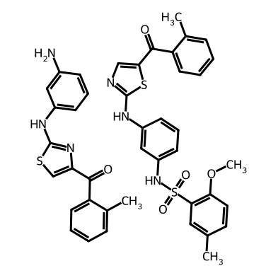 COc1ccc(C)cc1S(=O)(=O)Nc1cccc(Nc2ncc(C(=O)c3ccccc3C)s2)c1.Cc1ccccc1C(=O)c1csc(Nc2cccc(N)c2)n1